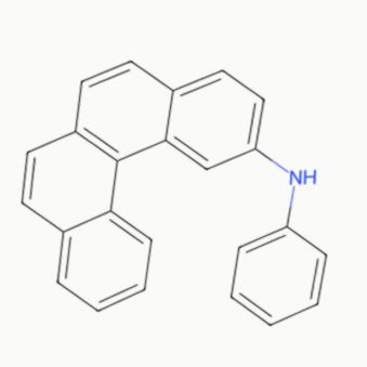 c1ccc(Nc2ccc3ccc4ccc5ccccc5c4c3c2)cc1